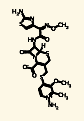 CO/N=C(\C(=O)NC1C(=O)N2C(C(=O)[O-])=C(CSc3cc[n+](N)c(C)c3OC)CS[C@@H]12)c1csc(N)n1